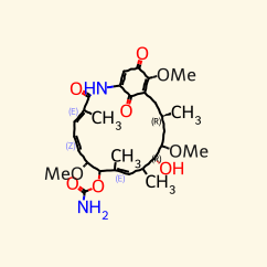 COC1=C2C[C@@H](C)CC(OC)[C@H](O)C(C)/C=C(\C)C(OC(N)=O)C(OC)/C=C\C=C(/C)C(=O)NC(=CC1=O)C2=O